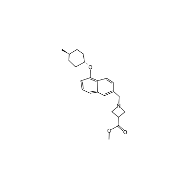 COC(=O)C1CN(Cc2ccc3c(O[C@H]4CC[C@H](C)CC4)cccc3c2)C1